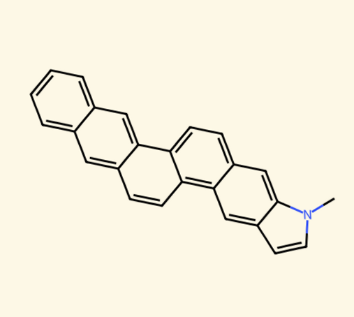 Cn1ccc2cc3c(ccc4c5cc6ccccc6cc5ccc34)cc21